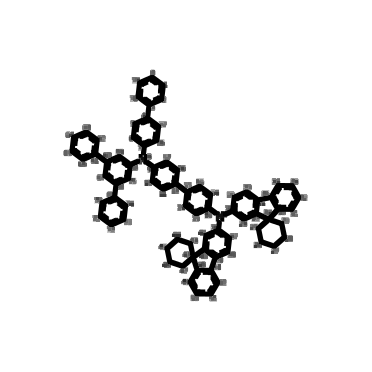 c1ccc(-c2ccc(N(c3ccc(-c4ccc(N(c5ccc6c(c5)C5(CCCCC5)c5ccccc5-6)c5ccc6c(c5)C5(CCCCC5)c5ccccc5-6)cc4)cc3)c3cc(-c4ccccc4)cc(-c4ccccc4)c3)cc2)cc1